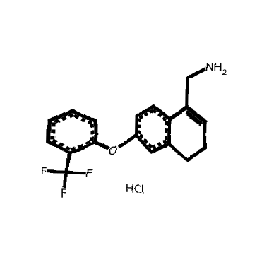 Cl.NCC1=CCCc2cc(Oc3ccccc3C(F)(F)F)ccc21